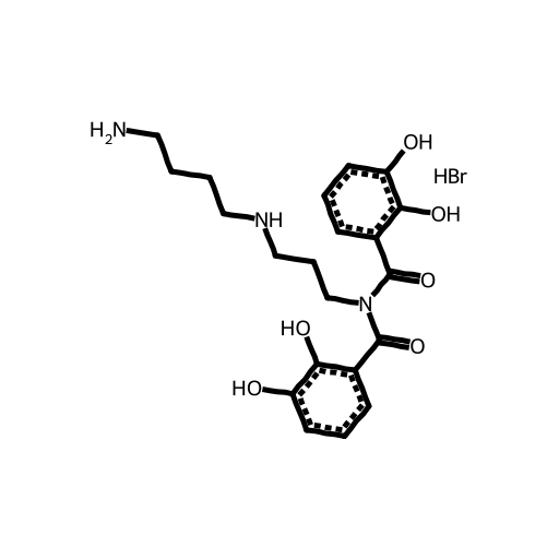 Br.NCCCCNCCCN(C(=O)c1cccc(O)c1O)C(=O)c1cccc(O)c1O